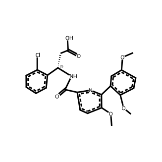 COc1ccc(OC)c(-c2nc(C(=O)N[C@@H](CC(=O)O)c3ccccc3Cl)ccc2OC)c1